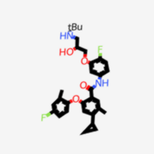 Cc1cc(F)ccc1Oc1cc(C2CC2)c(C)cc1C(=O)Nc1ccc(F)c(OCC(O)CNC(C)(C)C)c1